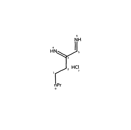 CCCCCC(=N)C=N.Cl